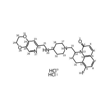 Cl.Cl.O=c1ccc2ccc(F)c3c2n1C(CN1CCC(NCc2cc4c(cn2)OCCO4)CC1)CC3